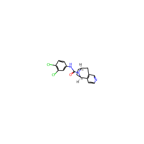 O=C(Nc1ccc(Cl)c(Cl)c1)N1[C@H]2CC[C@@H]1c1ccncc1C2